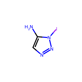 Nc1cnnn1I